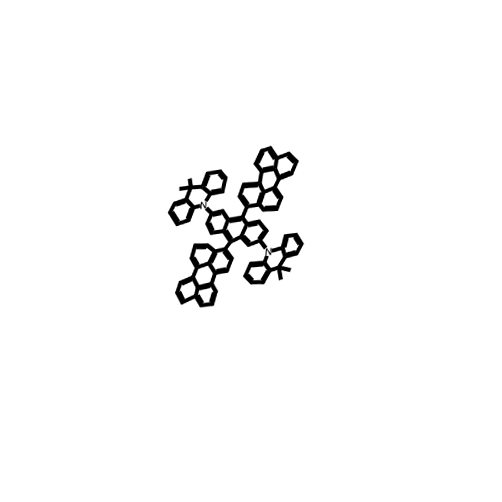 CC1(C)c2ccccc2N(c2ccc3c(-c4ccc5c6cccc7cccc(c8cccc4c85)c76)c4cc(N5c6ccccc6C(C)(C)c6ccccc65)ccc4c(-c4ccc5c6cccc7cccc(c8cccc4c85)c76)c3c2)c2ccccc21